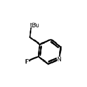 CC(C)(C)Cc1ccncc1F